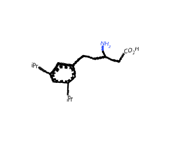 CC(C)c1cc(CCC(N)CC(=O)O)cc(C(C)C)c1